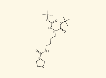 CC(C)(C)OC(=O)N[C@@H](CCCCNC(=O)[C@@H]1CCSC1)C(=O)OC(C)(C)C